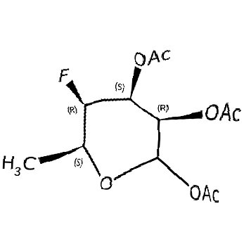 CC(=O)OC1O[C@@H](C)[C@@H](F)[C@@H](OC(C)=O)[C@H]1OC(C)=O